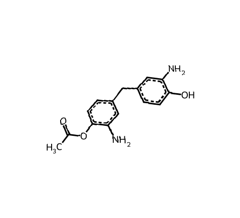 CC(=O)Oc1ccc(Cc2ccc(O)c(N)c2)cc1N